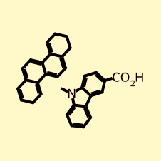 C1=Cc2ccc3c4c(ccc3c2=CC1)CCCC=4.Cn1c2ccccc2c2cc(C(=O)O)ccc21